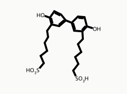 O=S(=O)(O)CCCCCCc1cc(-c2ccc(O)c(CCCCCCS(=O)(=O)O)c2)ccc1O